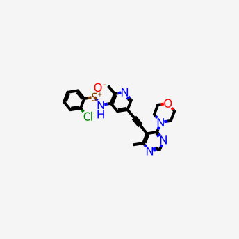 Cc1ncc(C#Cc2c(C)ncnc2N2CCOCC2)cc1N[S+]([O-])c1ccccc1Cl